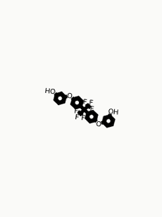 Oc1cccc(Oc2ccc(C(c3ccc(Oc4cccc(O)c4)cc3)(C(F)(F)F)C(F)(F)F)cc2)c1